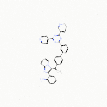 C=C(c1ccc(-c2cccc(-c3nc(C4=CCCN=C4)nc(-c4ccncc4)n3)c2)cc1)c1c(-c2ccccc2N)nc2ccccn12